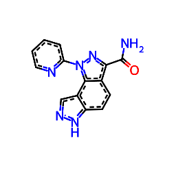 NC(=O)c1nn(-c2ccccn2)c2c1ccc1[nH]ncc12